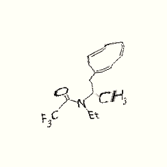 CCN(C(=O)C(F)(F)F)[C@@H](C)Cc1ccccc1